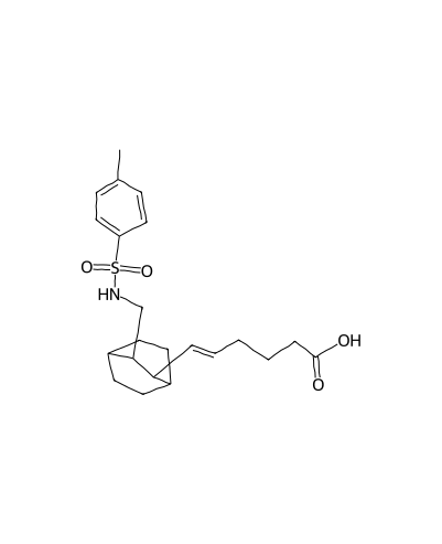 Cc1ccc(S(=O)(=O)NCC2C3CCC(CC3)C2C=CCCCC(=O)O)cc1